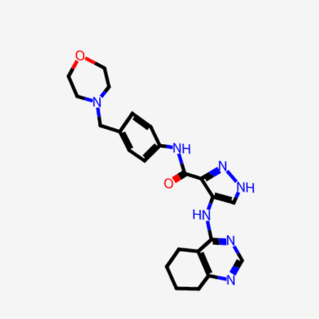 O=C(Nc1ccc(CN2CCOCC2)cc1)c1n[nH]cc1Nc1ncnc2c1CCCC2